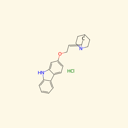 C(COc1ccc2c(c1)[nH]c1ccccc12)=C1CC2CCN1CC2.Cl